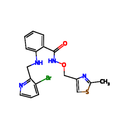 Cc1nc(CONC(=O)c2ccccc2NCc2ncccc2Br)cs1